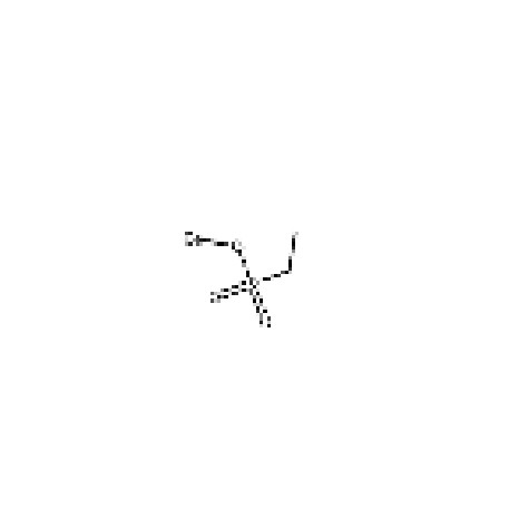 CCS(=O)(=O)[O][Ce]